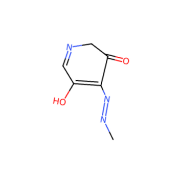 CN=NC1=C(O)C=NCC1=O